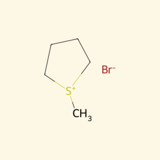 C[S+]1CCCC1.[Br-]